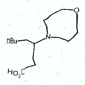 CCCCC(CC(=O)O)N1CCOCC1